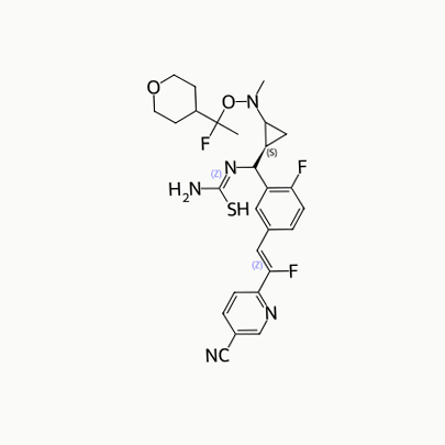 CN(OC(C)(F)C1CCOCC1)C1C[C@H]1C(/N=C(/N)S)c1cc(/C=C(\F)c2ccc(C#N)cn2)ccc1F